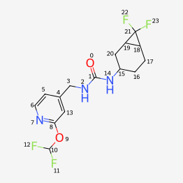 O=C(NCc1ccnc(OC(F)F)c1)NC1CCC2C(C1)C2(F)F